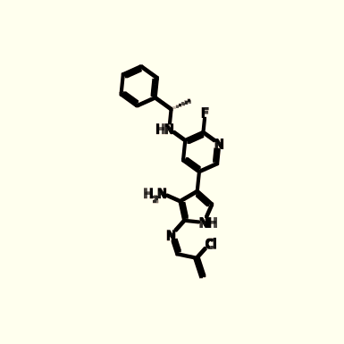 C=C(Cl)/C=N\c1[nH]cc(-c2cnc(F)c(N[C@@H](C)c3ccccc3)c2)c1N